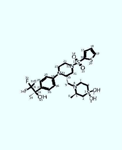 C[C@@H]1CS(O)(O)CCN1C[C@H]1CN(S(=O)(=O)c2cccs2)CCN1c1ccc([C@@](C)(O)C(F)(F)F)cc1